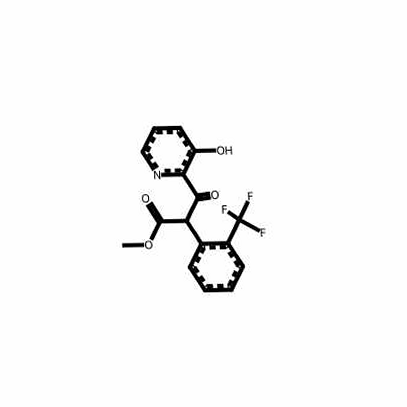 COC(=O)C(C(=O)c1ncccc1O)c1ccccc1C(F)(F)F